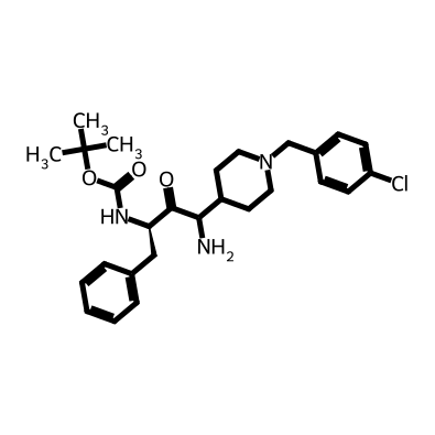 CC(C)(C)OC(=O)N[C@H](Cc1ccccc1)C(=O)C(N)C1CCN(Cc2ccc(Cl)cc2)CC1